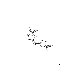 O=S1(=O)CC=C(SC2=CCS(=O)(=O)C2)C1